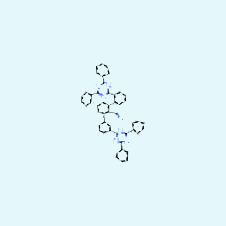 N#Cc1c(-c2cccc(-c3nc(-c4ccccc4)nc(-c4ccccc4)n3)c2)cccc1-c1ccccc1-c1nc(-c2ccccc2)nc(-c2ccccc2)n1